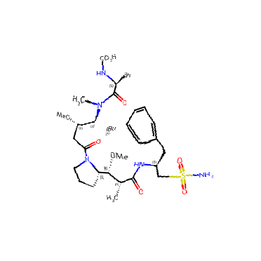 CC[C@H](C)[C@@H]([C@H](CC(=O)N1CCC[C@H]1[C@H](OC)[C@@H](C)C(=O)N[C@@H](Cc1ccccc1)CS(N)(=O)=O)OC)N(C)C(=O)[C@@H](NC(=O)O)C(C)C